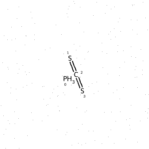 P.S=C=S